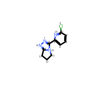 Clc1cccc(-c2nnc3n2CCC3)n1